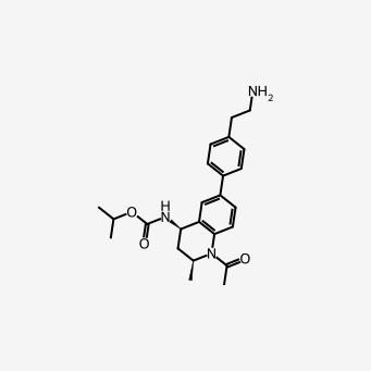 CC(=O)N1c2ccc(-c3ccc(CCN)cc3)cc2[C@H](NC(=O)OC(C)C)C[C@@H]1C